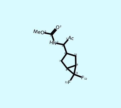 COC(=O)NC(C(C)=O)C1CC2C(C1)C2(F)F